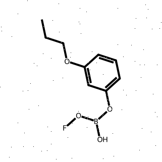 CCCOc1cccc(OB(O)OF)c1